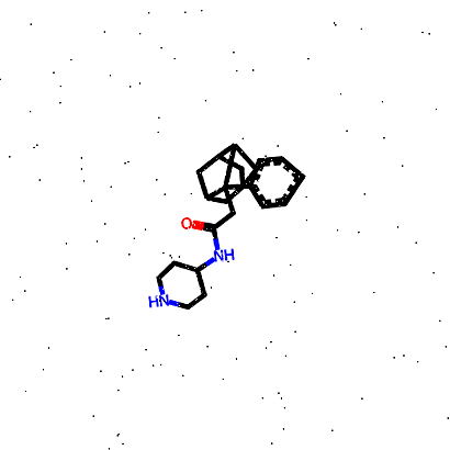 O=C(CC1(c2ccccc2)C2CC3CC(C2)C1C3)NC1CCNCC1